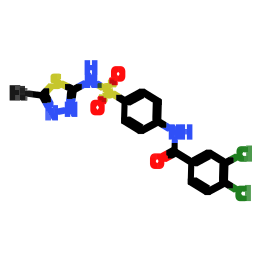 CCc1nnc(NS(=O)(=O)c2ccc(NC(=O)c3ccc(Cl)c(Cl)c3)cc2)s1